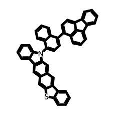 c1ccc2c(c1)-c1cccc3c(-c4ccc(-n5c6ccccc6c6cc7cc8sc9ccccc9c8cc7cc65)c5ccccc45)ccc-2c13